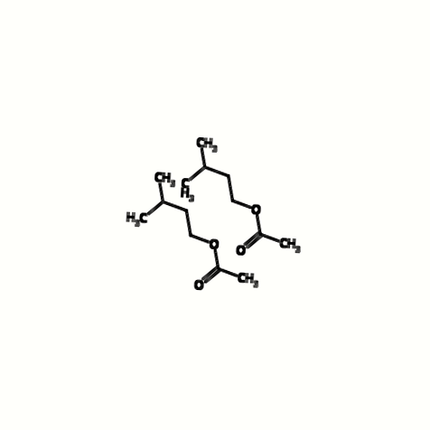 CC(=O)OCCC(C)C.CC(=O)OCCC(C)C